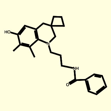 Cc1c(O)cc2c(c1C)N(CCCNC(=O)c1ccccc1)CC1(CCC1)C2